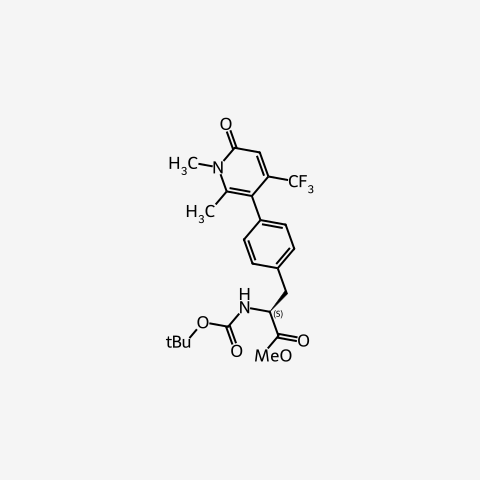 COC(=O)[C@H](Cc1ccc(-c2c(C(F)(F)F)cc(=O)n(C)c2C)cc1)NC(=O)OC(C)(C)C